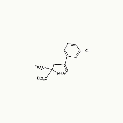 CCOC(=O)C(CC(=O)c1cccc(Cl)c1)(NC(C)=O)C(=O)OCC